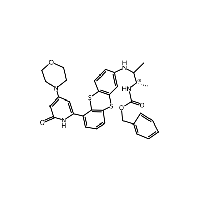 CC(Nc1ccc2c(c1)Sc1cccc(-c3cc(N4CCOCC4)cc(=O)[nH]3)c1S2)[C@H](C)NC(=O)OCc1ccccc1